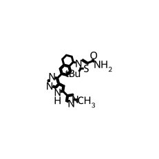 Cn1cc(-c2cc3c(-c4ccc5c(c4)CCCC5N4C=C(C(N)=O)SC4C(C)(C)C)ncnc3[nH]2)cn1